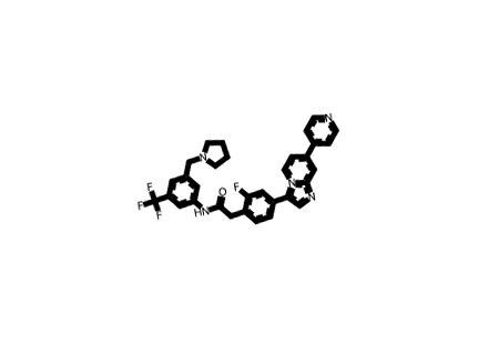 O=C(Cc1ccc(-c2cnc3cc(-c4ccncc4)ccn23)cc1F)Nc1cc(CN2CCCC2)cc(C(F)(F)F)c1